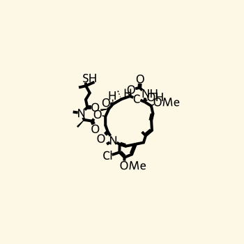 COc1cc2cc(c1Cl)N(C)C(=O)C[C@H](OC(=O)[C@@H](C)N(C)C(=O)CCC(C)(C)S)[C@]1(C)O[C@H]1[C@H](C)[C@@H]1C[C@@](O)(NC(=O)O1)[C@H](OC)/C=C/C=C(\C)C2